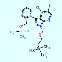 CC(C)(C)OCc1ccccc1-c1cn(COCC[Si](C)(C)C)c2ncc(Br)c(Cl)c12